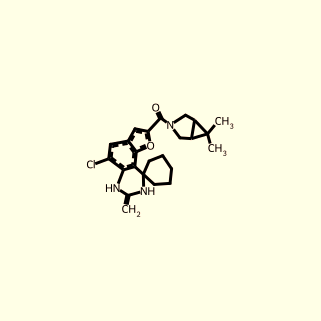 C=C1Nc2c(Cl)cc3cc(C(=O)N4CC5C(C4)C5(C)C)oc3c2C2(CCCCC2)N1